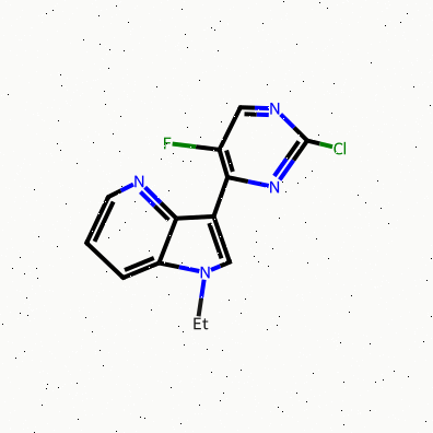 CCn1cc(-c2nc(Cl)ncc2F)c2ncccc21